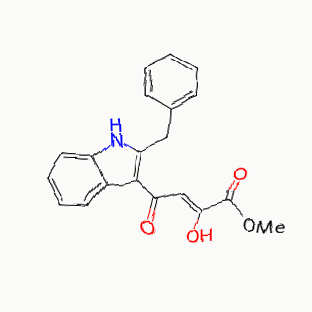 COC(=O)/C(O)=C/C(=O)c1c(Cc2ccccc2)[nH]c2ccccc12